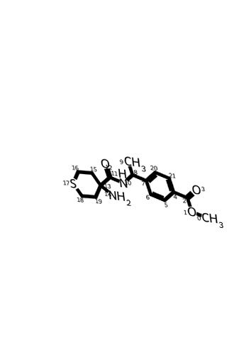 COC(=O)c1ccc(C(C)NC(=O)C2(N)CCSCC2)cc1